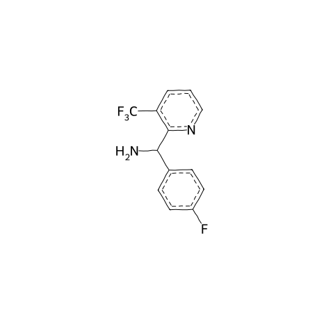 NC(c1ccc(F)cc1)c1ncccc1C(F)(F)F